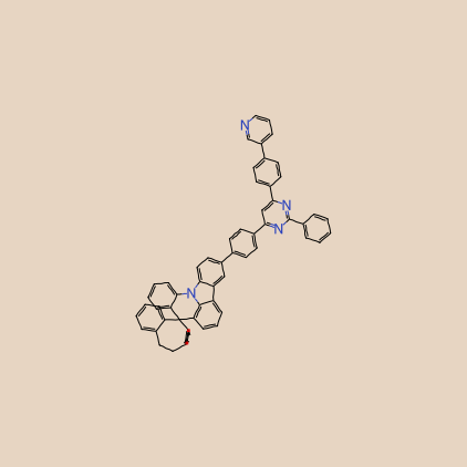 c1ccc(-c2nc(-c3ccc(-c4cccnc4)cc3)cc(-c3ccc(-c4ccc5c(c4)c4cccc6c4n5-c4ccccc4C64c5ccccc5CCc5ccccc54)cc3)n2)cc1